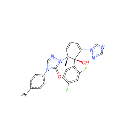 CC(C)c1ccc(-n2cnn([C@]3(C)C=CC=C(n4cncn4)[C@]3(O)c3ccc(F)cc3F)c2=O)cc1